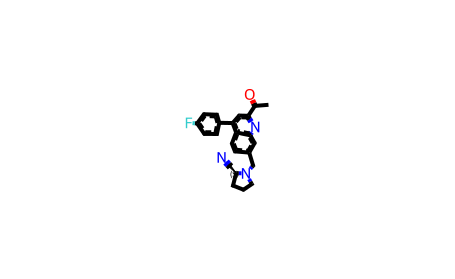 CC(=O)c1cc(-c2ccc(F)cc2)c2ccc(CN3CCC[C@H]3C#N)cc2n1